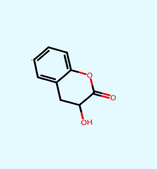 O=C1Oc2cc[c]cc2CC1O